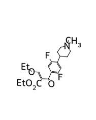 CCOC=C(C(=O)OCC)C(=O)c1cc(F)c(C2CCN(C)CC2)cc1F